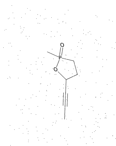 CC#CC1CCP(C)(=O)O1